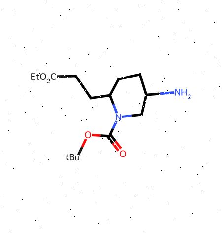 CCOC(=O)CCC1CCC(N)CN1C(=O)OC(C)(C)C